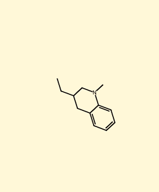 CCC1Cc2ccccc2N(C)C1